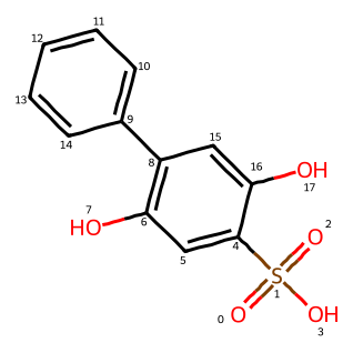 O=S(=O)(O)c1cc(O)c(-c2ccccc2)cc1O